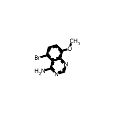 COc1ccc(Br)c2c(N)ncnc12